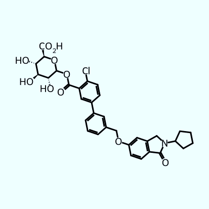 O=C(OC1O[C@H](C(=O)O)[C@@H](O)[C@H](O)[C@H]1O)c1cc(-c2cccc(COc3ccc4c(c3)CN(C3CCCC3)C4=O)c2)ccc1Cl